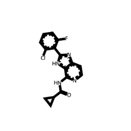 O=C(Nc1nccc2nc(-c3c(F)cccc3Cl)[nH]c12)C1CC1